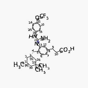 C[C@@H]1C[C@H](Cc2ccc(CCC(=O)O)cc2/N=C(\N)Nc2ccc(OC(F)(F)F)cc2)CC(C)(C)C1